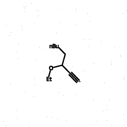 [C]#CC(CCCCC)OCC